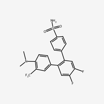 CN(C)c1ccc(-c2cc(F)c(F)cc2-c2ccc(S(N)(=O)=O)cc2)cc1C(F)(F)F